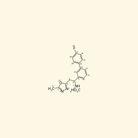 Cc1nnc(CC(NC(=O)O)c2cccc(-c3ccc(F)cc3)c2)o1